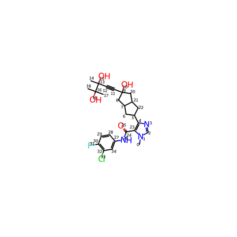 Cn1cnc(C2CC3CC(O)(C#CC(C)(O)C(C)(C)O)CC3C2)c1C(=O)Nc1ccc(F)c(Cl)c1